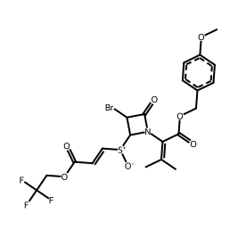 COc1ccc(COC(=O)C(=C(C)C)N2C(=O)C(Br)C2[S+]([O-])C=CC(=O)OCC(F)(F)F)cc1